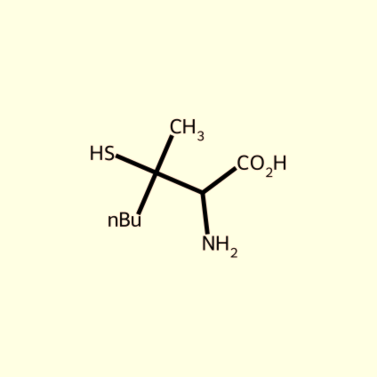 CCCCC(C)(S)C(N)C(=O)O